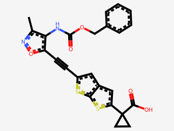 Cc1noc(C#Cc2cc3cc(C4(C(=O)O)CC4)sc3s2)c1NC(=O)OCc1ccccc1